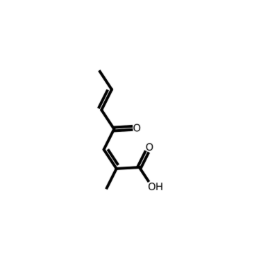 CC=CC(=O)C=C(C)C(=O)O